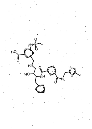 CCS(=O)(=O)Nc1cc(CNCC(O)C(Cc2ccccc2)NC(=O)c2cccc(C(=O)N(C)Cc3nc(C)cs3)c2)cc(C(=O)O)c1